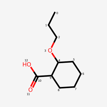 CCCOC1CCCCC1C(=O)O